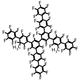 Cc1c(F)c(-c2c(F)c(-c3c(F)c(F)c(-c4c(F)c(F)c(F)c(F)c4F)c(F)c3F)c(F)c(-c3c(F)c(C4=C(F)C(F)=C(c5c(F)c(F)c(F)c(F)c5F)C(C)(F)C4F)c(F)c(-c4c(F)c(F)c(-c5c(F)c(F)c(F)c(F)c5F)c(F)c4F)c3F)c2F)c(F)c(F)c1-c1c(F)c(F)c(F)c(F)c1F